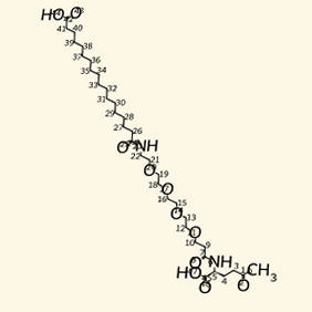 CC(=O)CC[C@H](NC(=O)CCOCCOCCOCCOCCNC(=O)CCCCCCCCCCCCCCCCC(=O)O)C(=O)O